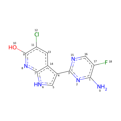 Nc1nc(-c2c[nH]c3nc(O)c(Cl)cc23)ncc1F